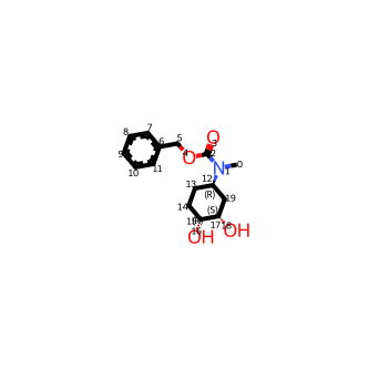 CN(C(=O)OCc1ccccc1)[C@@H]1CC[C@@H](O)[C@@H](O)C1